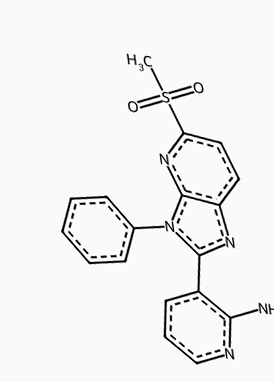 CS(=O)(=O)c1ccc2nc(-c3cccnc3N)n(-c3ccccc3)c2n1